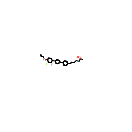 C=CCOc1ccc(-c2ccc(-c3ccc(/C=C/CCCC(C)O)cc3)cc2)c(F)c1F